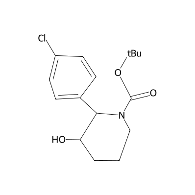 CC(C)(C)OC(=O)N1CCCC(O)C1c1ccc(Cl)cc1